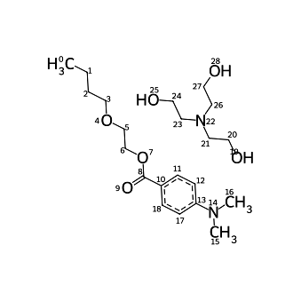 CCCCOCCOC(=O)c1ccc(N(C)C)cc1.OCCN(CCO)CCO